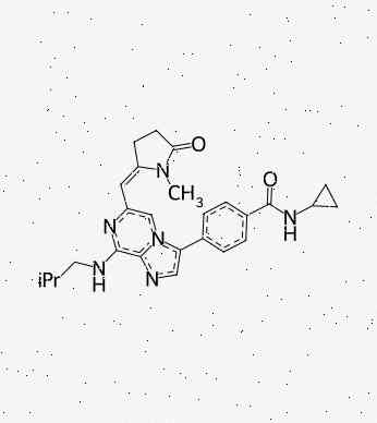 CC(C)CNc1nc(C=C2CCC(=O)N2C)cn2c(-c3ccc(C(=O)NC4CC4)cc3)cnc12